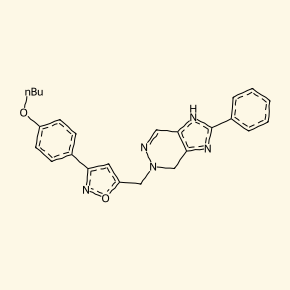 CCCCOc1ccc(-c2cc(CN3Cc4nc(-c5ccccc5)[nH]c4C=N3)on2)cc1